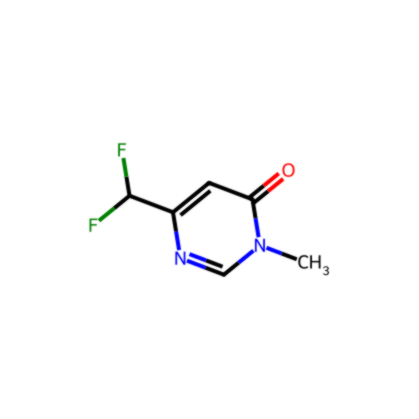 Cn1cnc(C(F)F)cc1=O